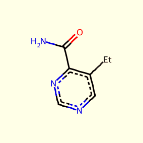 CCc1cncnc1C(N)=O